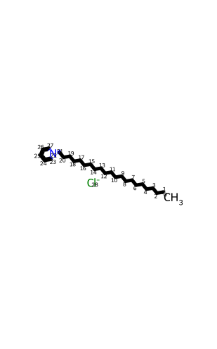 CCCCCCCCCCCCCCCCCCCCCC[n+]1ccccc1.[Cl-]